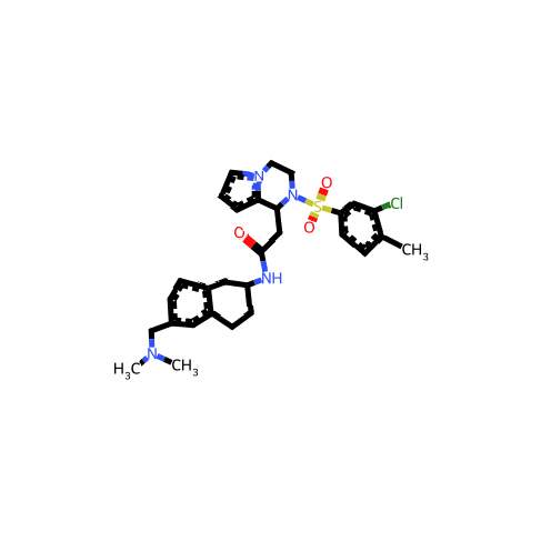 Cc1ccc(S(=O)(=O)N2CCn3cccc3C2CC(=O)NC2CCc3cc(CN(C)C)ccc3C2)cc1Cl